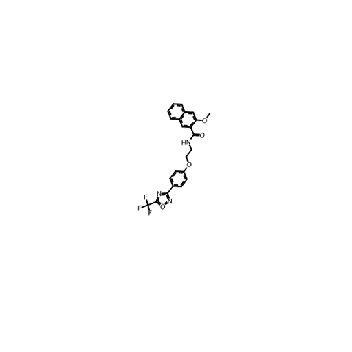 COc1cc2ccccc2cc1C(=O)NCCOc1ccc(-c2noc(C(F)(F)F)n2)cc1